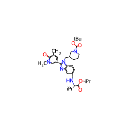 Cc1cc(-c2nc3cc(CNC(C(=O)OC(C)C)C(C)C)ccc3n2CC2CCCN(C(=O)OC(C)(C)C)C2)cn(C)c1=O